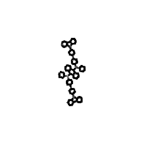 c1ccc(N(c2ccc(-c3ccc(-n4c5ccccc5c5ccccc54)cc3)cc2)c2c3ccccc3c(N(c3ccccc3)c3ccc(-c4ccc(-n5c6ccccc6c6ccccc65)cc4)cc3)c3ccccc23)cc1